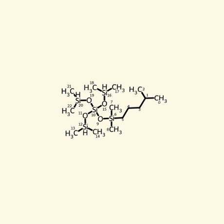 CC(C)CCC[Si](C)(C)O[Si](O[SiH](C)C)(O[SiH](C)C)O[SiH](C)C